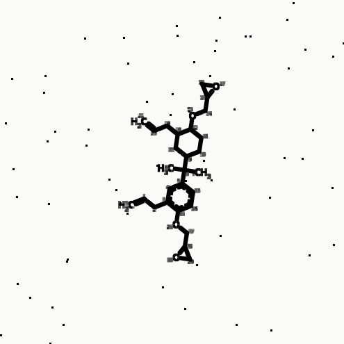 C=CCc1cc(C(C)(C)C2CCC(OCC3CO3)C(CC=C)C2)ccc1OCC1CO1